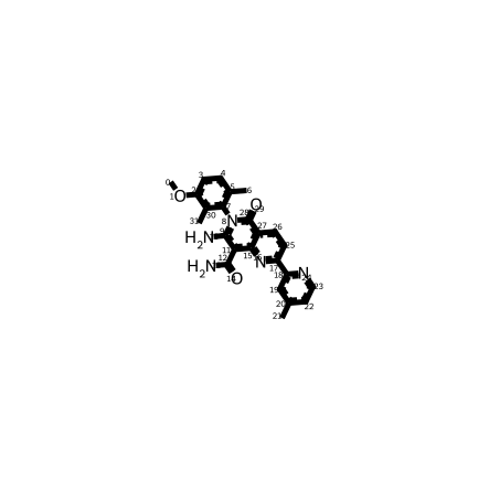 COc1ccc(C)c(-n2c(N)c(C(N)=O)c3nc(-c4cc(C)ccn4)ccc3c2=O)c1C